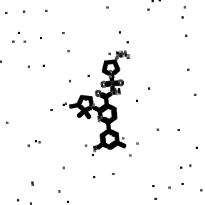 Cc1cc(F)cc(-c2ccc(C(=O)NS(=O)(=O)N3CC[C@H](N)C3)c(N3CCC(C)C3(C)C)n2)c1